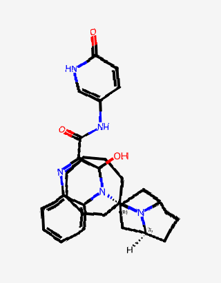 O=C(Nc1ccc(=O)[nH]c1)C1=Nc2ccccc2N([C@@H]2CC3CC[C@@H](C2)N3C2CCCCCCC2)C1O